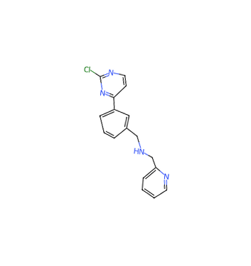 Clc1nccc(-c2cccc(CNCc3ccccn3)c2)n1